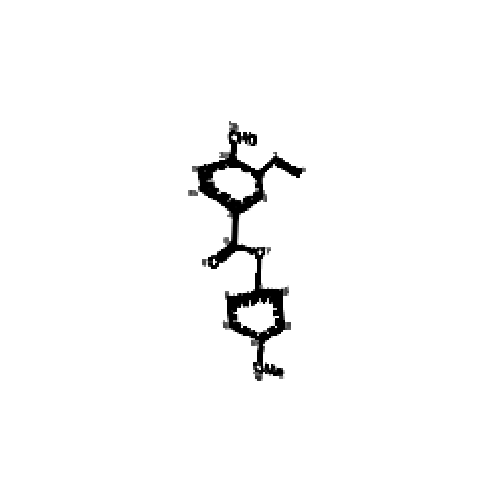 C=Cc1cc(C(=O)Oc2ccc(OC)cc2)ccc1C=O